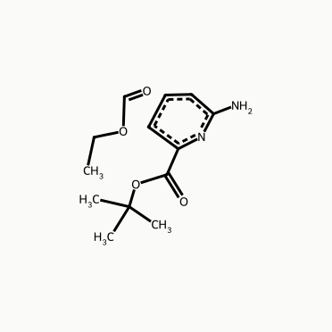 CC(C)(C)OC(=O)c1cccc(N)n1.CCOC=O